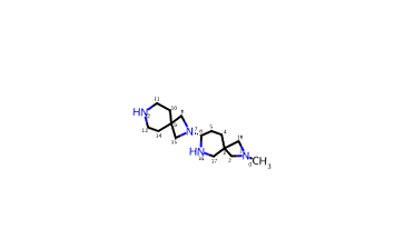 CN1CC2(CC[C@@H](N3CC4(CCNCC4)C3)NC2)C1